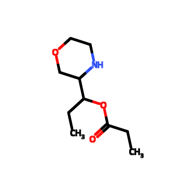 CCC(=O)OC(CC)C1COCCN1